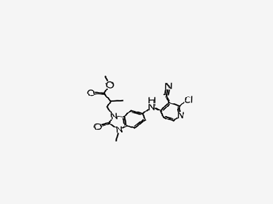 COC(=O)C(C)Cn1c(=O)n(C)c2ccc(Nc3ccnc(Cl)c3C#N)cc21